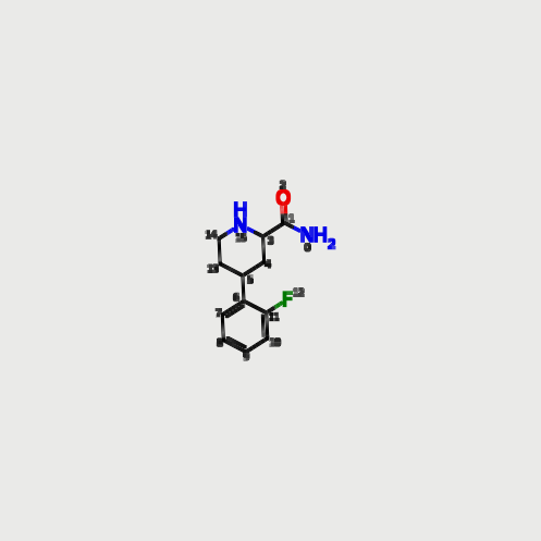 NC(=O)C1CC(c2ccccc2F)CCN1